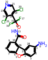 Nc1ccc2oc3cccc(C(=O)NOC(F)(F)c4c(Cl)cncc4Cl)c3c2c1